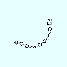 Nc1ccc(-c2ccc(CCCCOc3ccc(-c4ccc(OCCCCc5ccc(-c6ccc(N)cc6)cc5)cc4)cc3)cc2)cc1